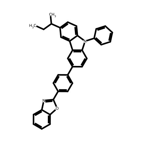 CCC(C)c1ccc2c(c1)c1cc(-c3ccc(-c4nc5ccccc5o4)cc3)ccc1n2-c1ccccc1